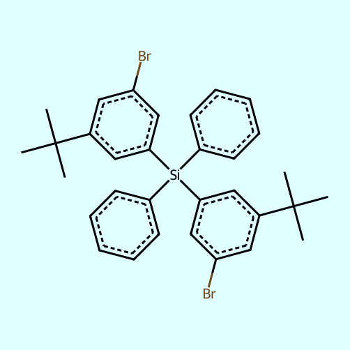 CC(C)(C)c1cc(Br)cc([Si](c2ccccc2)(c2ccccc2)c2cc(Br)cc(C(C)(C)C)c2)c1